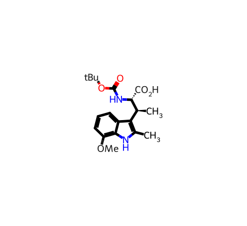 COc1cccc2c([C@H](C)[C@H](NC(=O)OC(C)(C)C)C(=O)O)c(C)[nH]c12